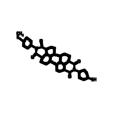 CSc1ccc(N2C(=O)c3ccc4c5ccc6c7c(ccc(c8ccc(c3c48)C2=O)c75)C(=O)N(c2ccc(S)cc2)C6=O)cc1